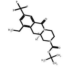 CCc1cc(C(F)(F)F)cc2c1C[C@@H]1CN(C(=O)OC(C)(C)C)CCN1C2=O